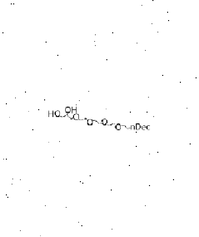 CCCCCCCCCCCCOCCOCCOCCOCC(O)CO